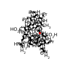 CC(C)C[C@H](NC(=O)[C@H](C)NC(=O)[C@H](C)N)C(=O)N[C@@H](C)C(=O)N[C@@H](CC(C)C)C(=O)N[C@@H](CC(C)C)C(=O)N[C@@H](CC(C)C)C(=O)N[C@@H](CC(C)C)C(=O)N[C@@H](CC(=O)O)C(=O)N[C@@H](CCCNC(=N)N)C(=O)N[C@@H](CC(C)C)C(=O)N[C@@H](CC(N)=O)C(=O)N[C@@H](CCC(N)=O)C(=O)N[C@@H](CC(C)C)C(=O)N[C@@H](CCC(=O)O)C(=O)O